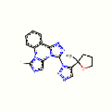 CC1(c2cnnn2-c2nnc3c4ccccc4n4c(F)ncc4n23)CCCO1